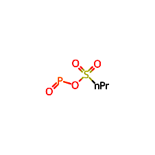 CCCS(=O)(=O)OP=O